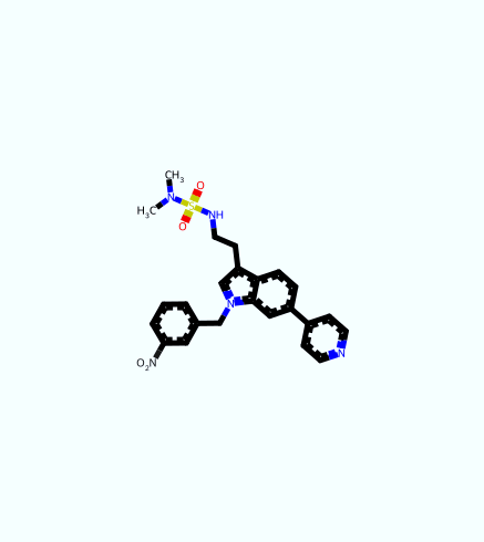 CN(C)S(=O)(=O)NCCc1cn(Cc2cccc([N+](=O)[O-])c2)c2cc(-c3ccncc3)ccc12